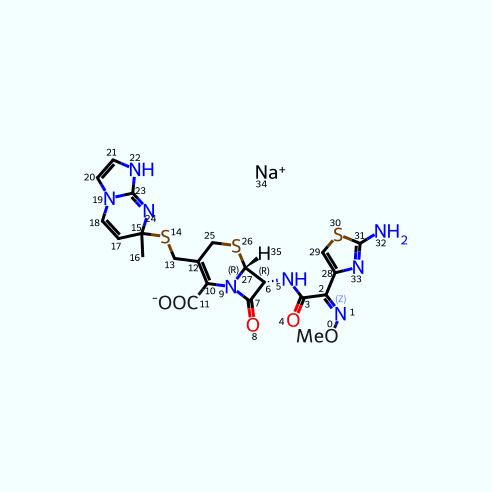 CO/N=C(\C(=O)N[C@@H]1C(=O)N2C(C(=O)[O-])=C(CSC3(C)C=CN4C=CNC4=N3)CS[C@H]12)c1csc(N)n1.[Na+]